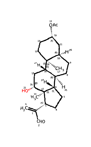 C=C(C=O)[C@H]1CC[C@H]2[C@@H]3CC[C@@H]4C[C@@H](OC(C)=O)CC[C@]4(C)[C@H]3C[C@@H](O)[C@]12C